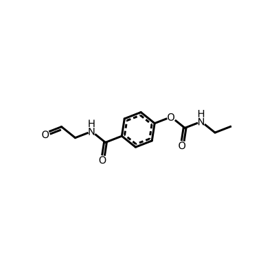 CCNC(=O)Oc1ccc(C(=O)NCC=O)cc1